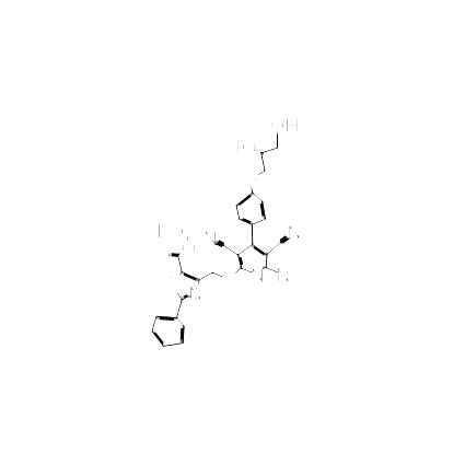 COC(=O)c1oc(-c2ccccc2)nc1CSc1nc(N)c(C#N)c(-c2ccc(OC[C@H](O)CO)cc2)c1C#N